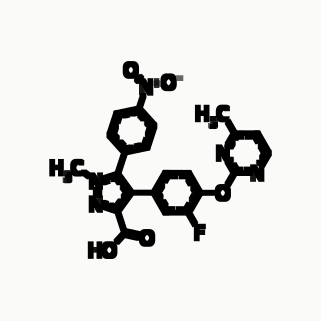 Cc1ccnc(Oc2ccc(-c3c(C(=O)O)nn(C)c3-c3ccc([N+](=O)[O-])cc3)cc2F)n1